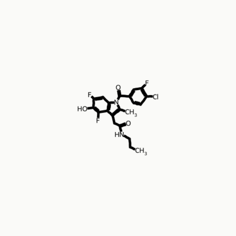 CCCNC(=O)Cc1c(C)n(C(=O)c2ccc(Cl)c(F)c2)c2cc(F)c(O)c(F)c12